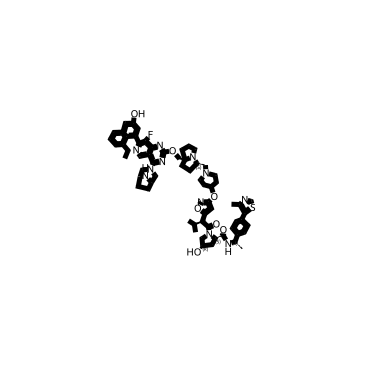 CCc1cccc2cc(O)cc(-c3ncc4c(N5CC6CCC(C5)N6)nc(OC[C@@]56CCCN5[C@H](CN5CCC(Oc7cc([C@@H](C(=O)N8C[C@H](O)C[C@H]8C(=O)N[C@@H](C)c8ccc(-c9scnc9C)cc8)C(C)C)on7)CC5)CC6)nc4c3F)c12